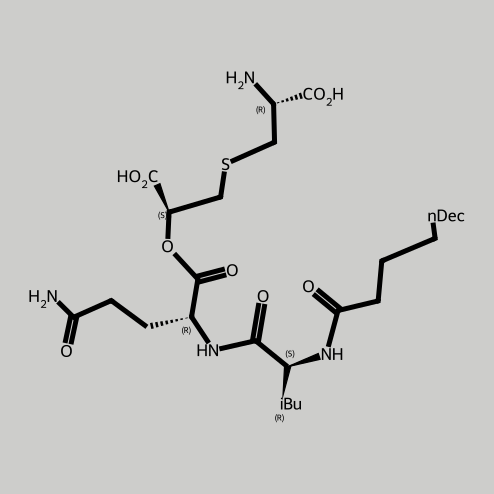 CCCCCCCCCCCCCC(=O)N[C@H](C(=O)N[C@H](CCC(N)=O)C(=O)O[C@H](CSC[C@H](N)C(=O)O)C(=O)O)[C@H](C)CC